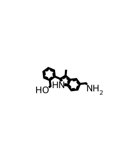 Cc1c(-c2ccccc2CO)[nH]c2ccc(CN)cc12